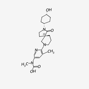 Cc1cc(N(C)C(=O)O)cnc1N1CCC[C@]2(CCN([C@H]3CC[C@@H](O)CC3)C2=O)C1